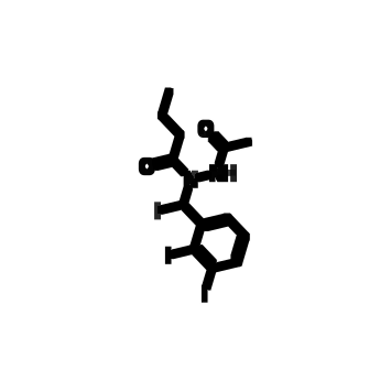 CCCC(=O)N(NC(C)=O)C(I)c1cccc(I)c1I